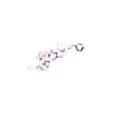 C[C@H]1O[C@@H](n2cc(I)c(NC(=O)OCCc3ccccc3)nc2=O)[C@H](O[Si](C)(C)C(C)(C)C)[C@@H]1O[Si](C)(C)C(C)(C)C